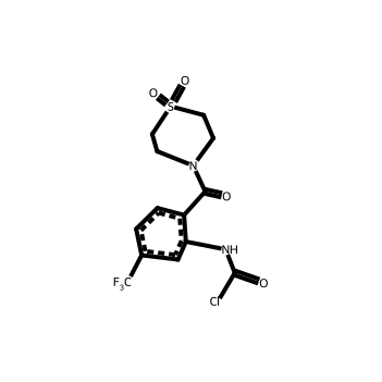 O=C(Cl)Nc1cc(C(F)(F)F)ccc1C(=O)N1CCS(=O)(=O)CC1